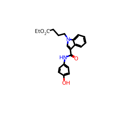 CCOC(=O)CCCn1cc(C(=O)Nc2ccc(O)cc2)c2ccccc21